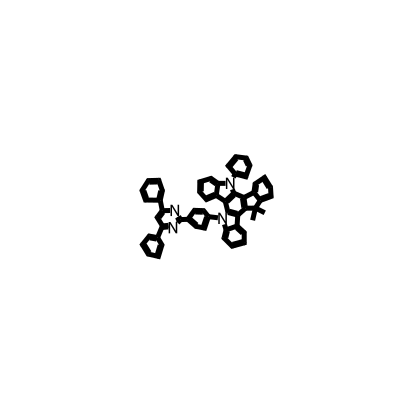 CC1(C)c2ccccc2-c2c1c1c3ccccc3n(-c3ccc(-c4nc(-c5ccccc5)cc(-c5ccccc5)n4)cc3)c1c1c3ccccc3n(-c3ccccc3)c21